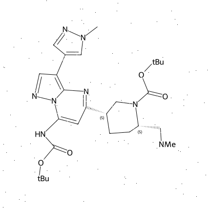 CNC[C@@H]1CC[C@H](c2cc(NC(=O)OC(C)(C)C)n3ncc(-c4cnn(C)c4)c3n2)CN1C(=O)OC(C)(C)C